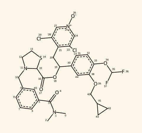 CN(C)C(=O)c1cccc(CN2CCSC2C(=O)OC(Cc2c(Cl)c[n+]([O-])cc2Cl)c2ccc(OC(F)F)c(OCC3CC3)c2)c1